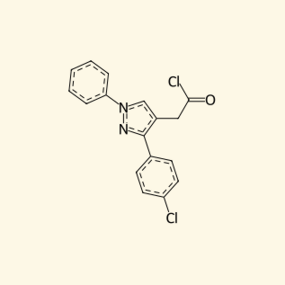 O=C(Cl)Cc1cn(-c2ccccc2)nc1-c1ccc(Cl)cc1